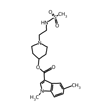 Cc1ccc2c(c1)c(C(=O)OC1CCN(CCNS(C)(=O)=O)CC1)cn2C